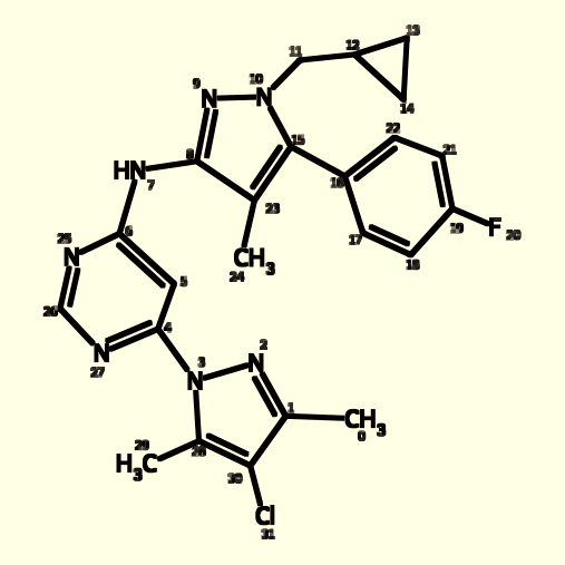 Cc1nn(-c2cc(Nc3nn(CC4CC4)c(-c4ccc(F)cc4)c3C)ncn2)c(C)c1Cl